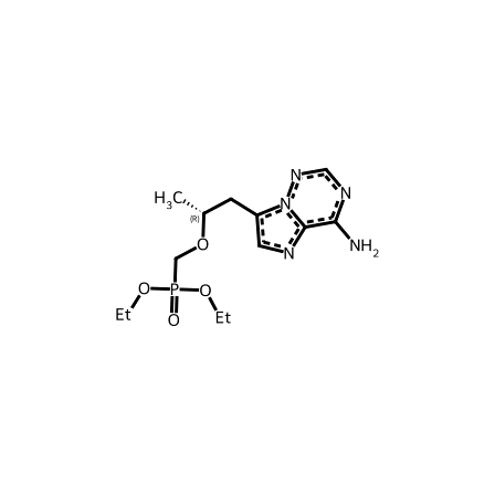 CCOP(=O)(CO[C@H](C)Cc1cnc2c(N)ncnn12)OCC